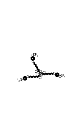 FC(F)(F)Oc1ccc(OCCCCCCCC(Cl)(Cl)OP(OC(Cl)(Cl)CCCCCCCOc2ccc(OC(F)(F)F)cc2)OC(Cl)(Cl)CCCCCCCOc2ccc(OC(F)(F)F)cc2)cc1